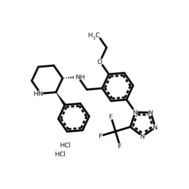 CCOc1ccc(-n2nnnc2C(F)(F)F)cc1CN[C@H]1CCCN[C@@H]1c1ccccc1.Cl.Cl